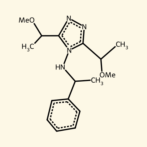 COC(C)c1nnc(C(C)OC)n1NC(C)c1ccccc1